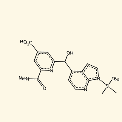 CNC(=O)c1cc(C(=O)O)cc(C(O)c2ccnc3c2ccn3[Si](C)(C)C(C)(C)C)n1